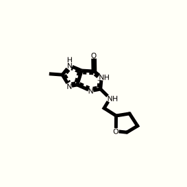 Cc1nc2nc(NCC3CCCO3)[nH]c(=O)c2[nH]1